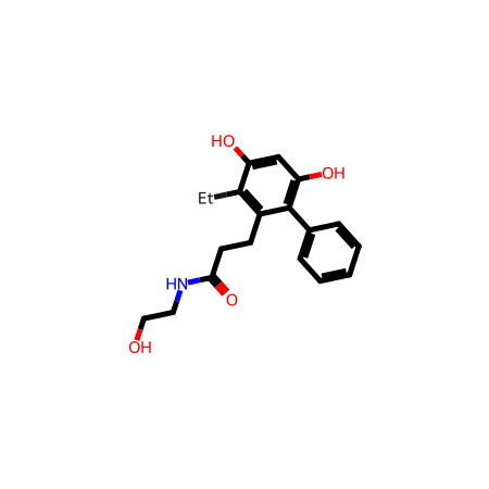 CCc1c(O)cc(O)c(-c2ccccc2)c1CCC(=O)NCCO